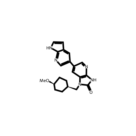 CO[C@H]1CC[C@@H](Cn2c(=O)[nH]c3ncc(-c4cnc5[nH]ccc5c4)cc32)CC1